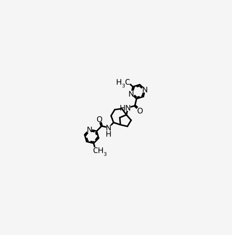 Cc1ccnc(C(=O)NC2CCCC3(NC(=O)c4cncc(C)n4)CCC2C3)c1